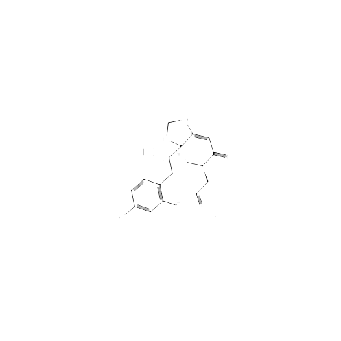 C=CC[C@H]1C[C@]2([C@@H](C)Cc3ccc(C)cc3F)OCOC2=CC1=O